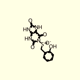 O=c1[nH]c2[nH]c(=O)n([S+]([O-])Cc3ccccc3O)c(=O)c2[nH]1